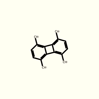 [CH]c1ccc([CH])c2c1-c1c([CH])ccc([CH])c1-2